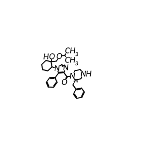 CC(C)OCC1(O)CCCCC1n1cnc(C(=O)N2CCNC[C@H]2Cc2ccccc2)c1-c1ccccc1